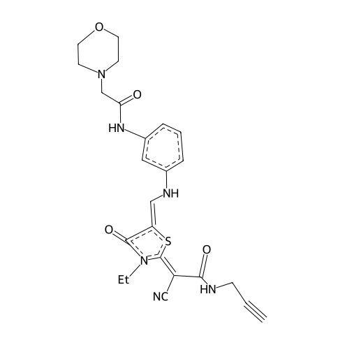 C#CCNC(=O)C(C#N)=c1sc(=CNc2cccc(NC(=O)CN3CCOCC3)c2)c(=O)n1CC